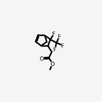 COC(=O)CC1C2C=CC(C2)C1(F)C(F)(F)F